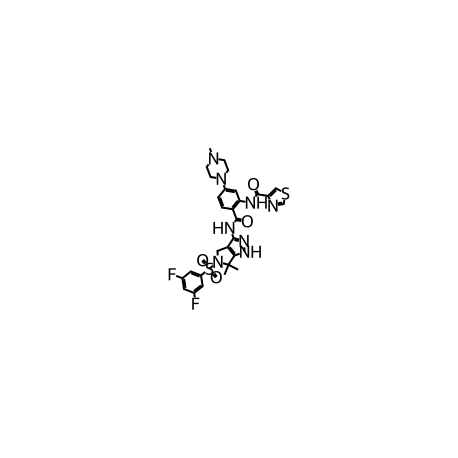 CN1CCN(c2ccc(C(=O)Nc3n[nH]c4c3CN(S(=O)(=O)c3cc(F)cc(F)c3)C4(C)C)c(NC(=O)c3cscn3)c2)CC1